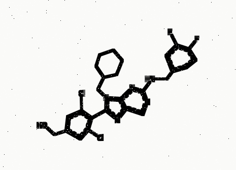 OCc1cc(Cl)c(-c2nc3cnc(NCc4ccc(F)c(F)c4)nc3n2CC2CCCCC2)c(Cl)c1